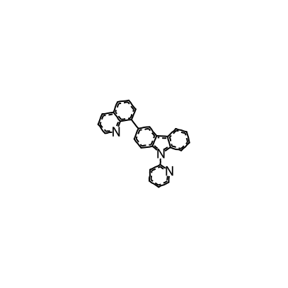 c1ccc(-n2c3ccccc3c3cc(-c4cccc5cccnc45)ccc32)nc1